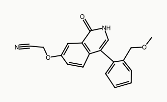 COCc1ccccc1-c1c[nH]c(=O)c2cc(OCC#N)ccc12